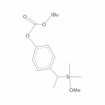 CO[Si](C)(C)C(C)c1ccc(OC(=O)OC(C)(C)C)cc1